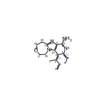 C=C/C(C)=c1\c(=C/C)nc(N)c2nc3n(c12)CCOCC3